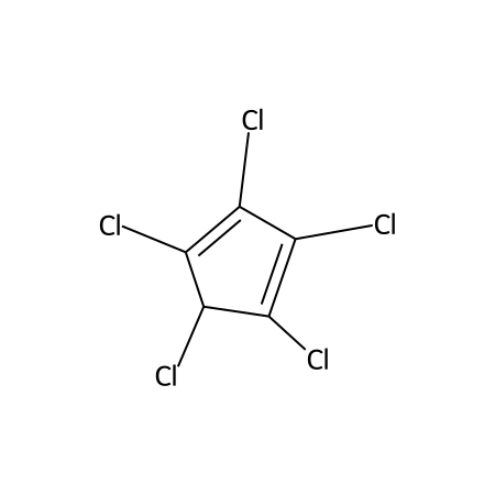 ClC1=C(Cl)C(Cl)C(Cl)=C1Cl